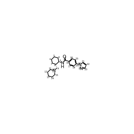 O=C(N[C@@H]1CCCC[C@H]1CN1CCCCC1)c1ccc(-n2cccn2)cc1